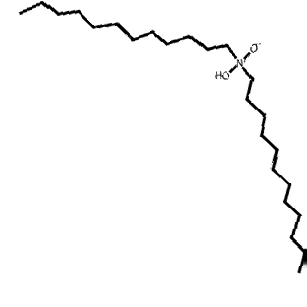 CCCCCCCCCCCC[N+]([O-])(O)CCCCCCCCCCCC